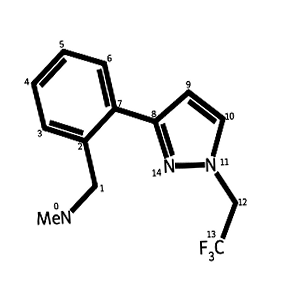 CNCc1ccccc1-c1ccn(CC(F)(F)F)n1